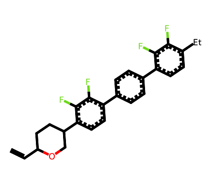 C=CC1CCC(c2ccc(-c3ccc(-c4ccc(CC)c(F)c4F)cc3)c(F)c2F)CO1